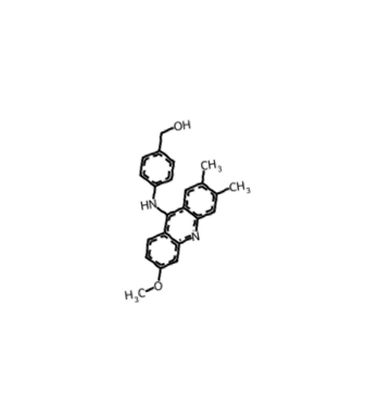 COc1ccc2c(Nc3ccc(CO)cc3)c3cc(C)c(C)cc3nc2c1